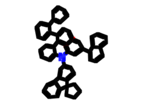 c1ccc(-c2ccccc2-c2ccccc2-c2ccccc2N(c2cccc(-c3cccc4ccccc34)c2)c2ccc3c(c2)-c2ccccc2C32CCCC2)cc1